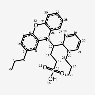 CCCc1ccc2c(c1)N(C(CCS(=O)(=O)O)C1N=CC=CN1CCC)c1ccccc1O2